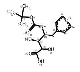 CC(C)(C)OC(=O)N[C@@H](Cc1ccccc1)[C@H](O)C(O)C(=O)O